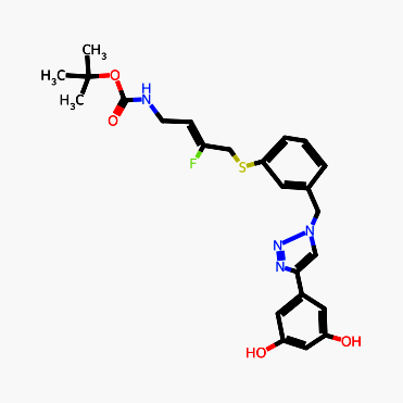 CC(C)(C)OC(=O)NC/C=C(\F)CSc1cccc(Cn2cc(-c3cc(O)cc(O)c3)nn2)c1